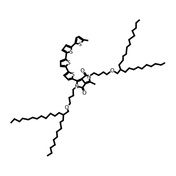 CCCCCCCCCCCCC(CCCCCCCCCC)COCCCCN1C(=O)C2=C(c3ccc(-c4ccc(-c5ccc(-c6ccc(C)s6)s5)s4)s3)N(CCCCOCC(CCCCCCCCCC)CCCCCCCCCCCC)C(=O)C2=C1C